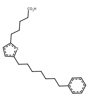 O=C(O)CCCCc1ccc(CCCCCCCc2ccccc2)s1